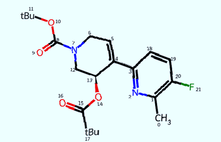 Cc1nc(C2=CCN(C(=O)OC(C)(C)C)C[C@@H]2OC(=O)C(C)(C)C)ccc1F